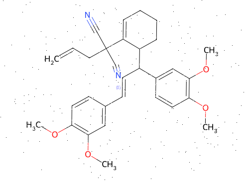 C=CCC(C#N)(C#N)C1=CCCCC1C(/C=C/c1ccc(OC)c(OC)c1)c1ccc(OC)c(OC)c1